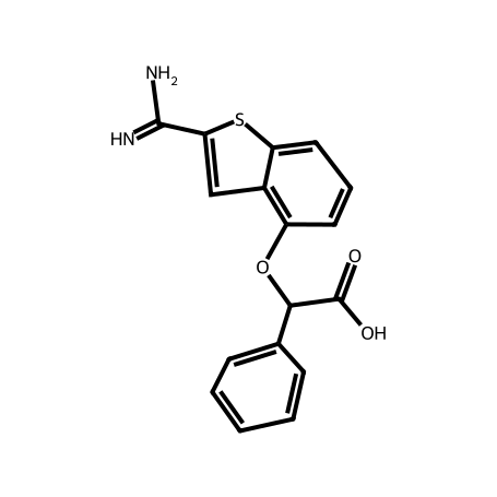 N=C(N)c1cc2c(OC(C(=O)O)c3ccccc3)cccc2s1